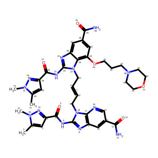 Cc1cc(C(=O)Nc2nc3cc(C(N)=O)cnc3n2C/C=C/Cn2c(NC(=O)c3cc(C)n(C)n3)nc3cc(C(N)=O)cc(OCCCN4CCOCC4)c32)nn1C